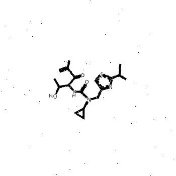 C=C(C)C(=O)C(NC(=O)N(Cc1csc(C(C)C)n1)C1CC1)C(C)O